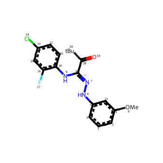 COc1cccc(N/N=C(\Nc2ccc(Cl)cc2F)C(=O)C(C)(C)C)c1